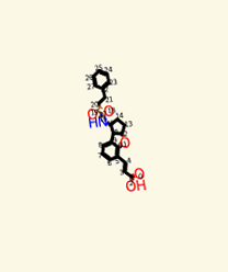 O=C(O)C=Cc1cccc2c1OC1CCC(NS(=O)(=O)CCc3ccccc3)C21